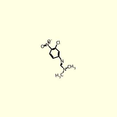 CN(C)C=Nc1ccc([N+](=O)[O-])c(Cl)c1